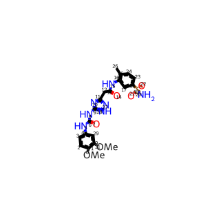 COc1ccc(NC(=O)Nc2nc(CC(=O)Nc3cc(S(N)(=O)=O)ccc3C)n[nH]2)cc1OC